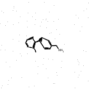 Cc1[c]cccc1-c1ccc(CN)cc1